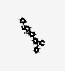 c1ccc(-n2ncc3c4[nH]c5cc(-c6ccc7c(c6)c6ccccc6n7-c6ccccc6)ccc5c4ccc32)cc1